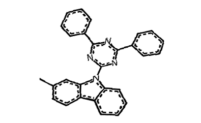 Cc1ccc2c3ccccc3n(-c3nc(-c4ccccc4)nc(-c4ccccc4)n3)c2c1